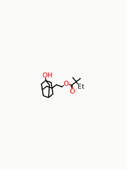 CCC(C)(C)C(=O)OCCC12CC3CC(CC(O)(C3)C1)C2